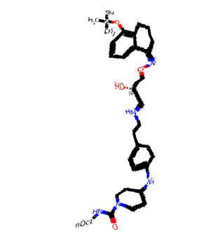 CCCCCCCCNC(=O)N1CCC(Nc2ccc(CCNC[C@H](O)CO/N=C3/CCCc4c(O[Si](C)(C)C(C)(C)C)cccc43)cc2)CC1